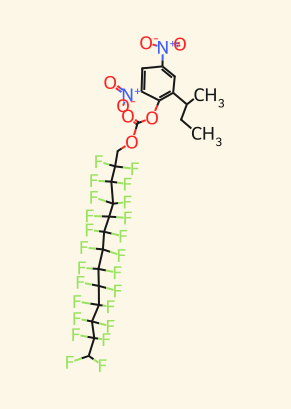 CCC(C)c1cc([N+](=O)[O-])cc([N+](=O)[O-])c1OC(=O)OCC(F)(F)C(F)(F)C(F)(F)C(F)(F)C(F)(F)C(F)(F)C(F)(F)C(F)(F)C(F)(F)C(F)(F)C(F)(F)C(F)F